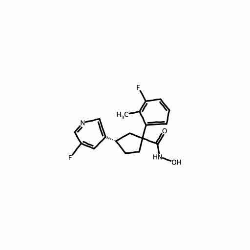 Cc1c(F)cccc1C1(C(=O)NO)CC[C@H](c2cncc(F)c2)C1